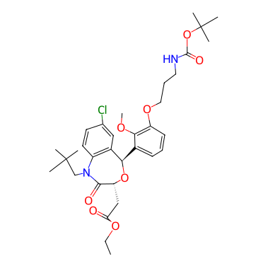 CCOC(=O)C[C@H]1O[C@H](c2cccc(OCCCNC(=O)OC(C)(C)C)c2OC)c2cc(Cl)ccc2N(CC(C)(C)C)C1=O